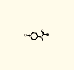 CCC(=O)N(C)C1CCN(CC)CC1